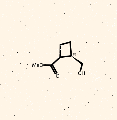 COC(=O)C1CC[C@H]1CO